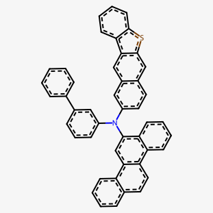 c1ccc(-c2cccc(N(c3ccc4cc5sc6ccccc6c5cc4c3)c3cc4c5ccccc5ccc4c4ccccc34)c2)cc1